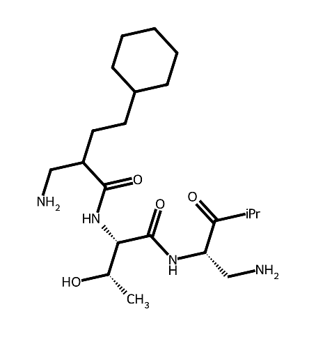 CC(C)C(=O)[C@H](CN)NC(=O)[C@@H](NC(=O)C(CN)CCC1CCCCC1)[C@H](C)O